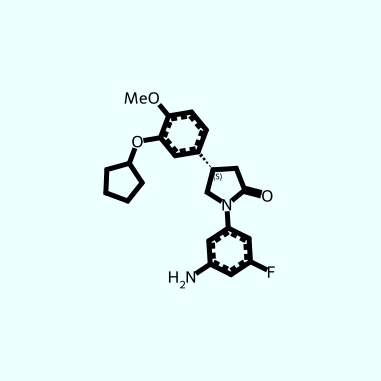 COc1ccc([C@@H]2CC(=O)N(c3cc(N)cc(F)c3)C2)cc1OC1CCCC1